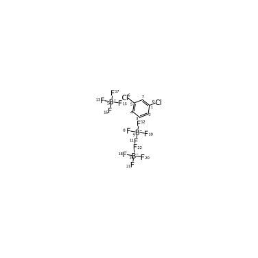 Clc1cccc(Cl)c1.F[B-](F)(F)F.F[B-](F)(F)F.F[B-](F)(F)F